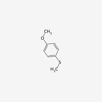 COc1[c]cc(SC)cc1